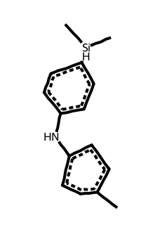 Cc1ccc(Nc2ccc([SiH](C)C)cc2)cc1